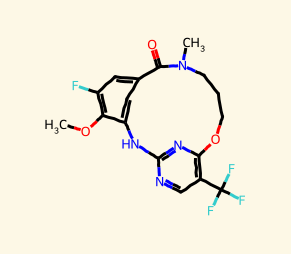 COc1c(F)cc2cc1Nc1ncc(C(F)(F)F)c(n1)OCCCN(C)C2=O